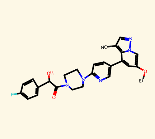 CCOc1cc(-c2ccc(N3CCN(C(=O)C(O)c4ccc(F)cc4)CC3)nc2)c2c(C#N)cnn2c1